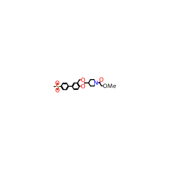 COCC(=O)N1CCC(C2OCc3cc(-c4ccc(S(C)(=O)=O)cc4)ccc3O2)CC1